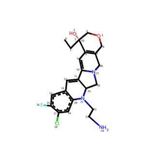 CC[C@@]1(O)COCC2=C1C=C1C3=Cc4cc(F)c(Cl)cc4N(CCN)C3CN1C2